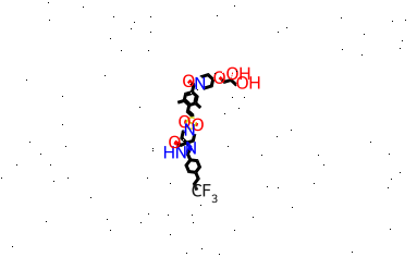 Cc1cc(C(=O)N2CCC(OC[C@H](O)CO)CC2)cc(C)c1/C=C/S(=O)(=O)N1CCC2(CC1)N=C(C1CCC(CCC(F)(F)F)CC1)NC2=O